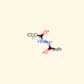 CCCC(=O)[N]NC(=O)C(Cl)(Cl)Cl